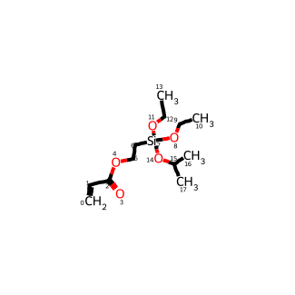 C=CC(=O)OCC[Si](OCC)(OCC)OC(C)C